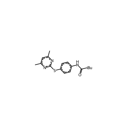 CCC(C)C(=O)Nc1ccc(Sc2nc(C)cc(C)n2)cc1